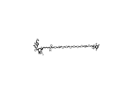 CCCN(Cc1ccc(CN(C)C)nc1)C(=O)C1=Cc2sc(CCCCCNC(=O)CCOCCOCCOCCOCCOCCOCCOCCOCCOCCOCCC(=O)Oc3c(F)c(F)cc(F)c3F)cc2N=C(N)C1